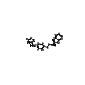 c1ccc2sc(NCCc3ccc(Nc4nccs4)cc3)nc2c1